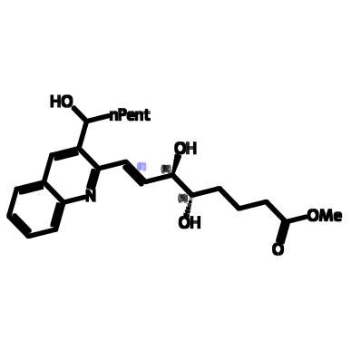 CCCCCC(O)c1cc2ccccc2nc1/C=C/[C@@H](O)[C@@H](O)CCCC(=O)OC